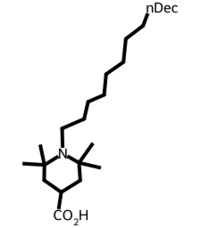 CCCCCCCCCCCCCCCCCCN1C(C)(C)CC(C(=O)O)CC1(C)C